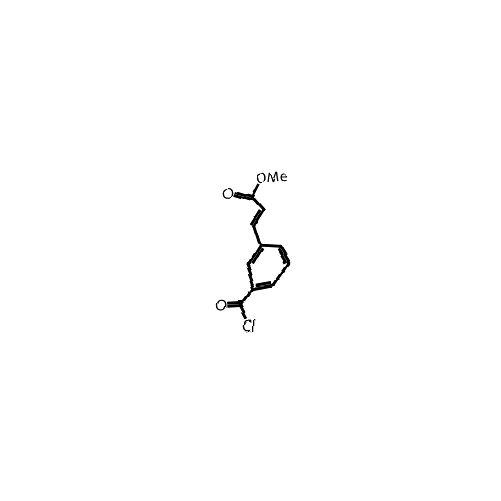 COC(=O)C=Cc1cccc(C(=O)Cl)c1